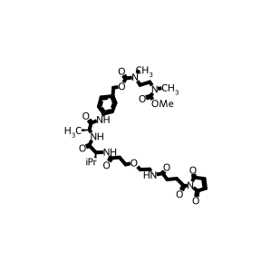 COC(=O)N(C)CCN(C)C(=O)OCc1ccc(NC(=O)[C@H](C)NC(=O)[C@@H](NC(=O)CCOCCNC(=O)CCC(=O)N2C(=O)C=CC2=O)C(C)C)cc1